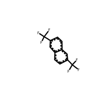 FC(F)(F)c1ccc2cc(C(F)(F)F)ccc2c1